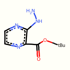 CC(C)(C)OC(=O)c1nccnc1NN